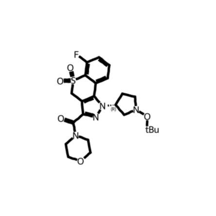 CC(C)(C)ON1CC[C@@H](n2nc(C(=O)N3CCOCC3)c3c2-c2cccc(F)c2S(=O)(=O)C3)C1